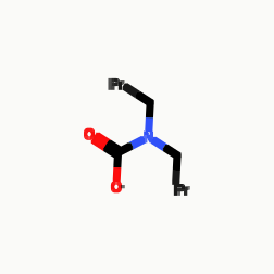 CC(C)CN(CC(C)C)C([O])=O